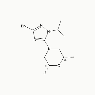 CC(C)n1nc(Br)nc1N1C[C@@H](C)O[C@@H](C)C1